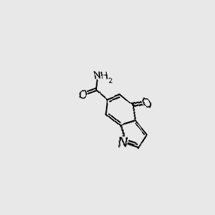 NC(=O)C1=CC(=O)C2=CC=NC2=C1